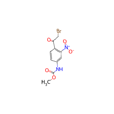 COC(=O)Nc1ccc(C(=O)CBr)c([N+](=O)[O-])c1